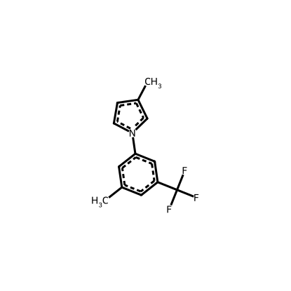 Cc1cc(-n2ccc(C)c2)cc(C(F)(F)F)c1